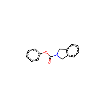 O=C(Oc1ccccc1)N1Cc2ccccc2C1